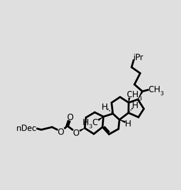 CCCCCCCCCCCCOC(=O)O[C@H]1CC[C@@]2(C)C(=CC[C@H]3[C@@H]4CC[C@H](C(C)CCCC(C)C)[C@@]4(C)CC[C@@H]32)C1